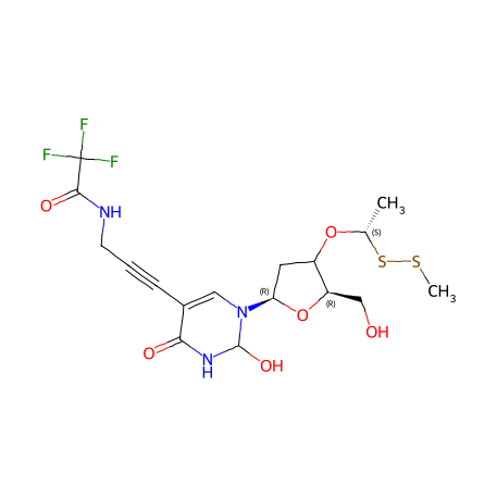 CSS[C@@H](C)OC1C[C@H](N2C=C(C#CCNC(=O)C(F)(F)F)C(=O)NC2O)O[C@@H]1CO